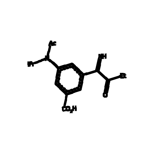 CCC(=O)C(=N)c1cc(C(=O)O)cc(N(C(C)=O)C(C)C)c1